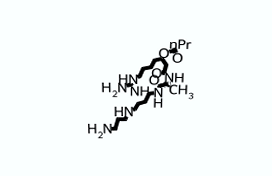 CCCC(=O)OC(CCCCNC(=N)N)CC(=O)N[C@@H](C)C(=O)NCCCCNCCCN